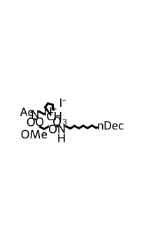 CCCCCCCCCCCCCCCCCCNC(=O)OCC(COC(=O)N(CC[N+]1(C)CCCC1)C(C)=O)OC.[I-]